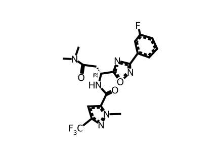 CN(C)C(=O)C[C@@H](NC(=O)c1cc(C(F)(F)F)nn1C)c1nc(-c2cccc(F)c2)no1